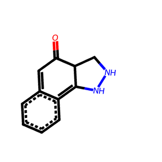 O=C1C=c2ccccc2=C2NNCC12